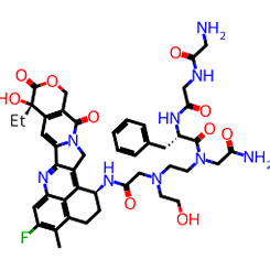 CC[C@@]1(O)C(=O)OCc2c1cc1n(c2=O)Cc2c-1nc1cc(F)c(C)c3c1c2[C@@H](NC(=O)CN(CCO)CCN(CC(N)=O)C(=O)[C@H](Cc1ccccc1)NC(=O)CNC(=O)CN)CC3